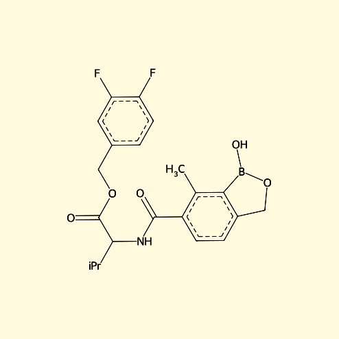 Cc1c(C(=O)NC(C(=O)OCc2ccc(F)c(F)c2)C(C)C)ccc2c1B(O)OC2